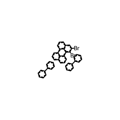 Brc1cc2cccc3c4cccc5cccc(c(c1Br)c23)c54.c1ccc(-c2ccccc2)cc1.c1ccc(-c2ccccc2)cc1